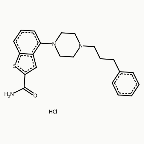 Cl.NC(=O)c1cc2c(N3CCN(CCCc4ccccc4)CC3)cccc2s1